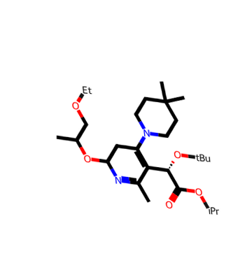 CCOCC(C)OC1CC(N2CCC(C)(C)CC2)=C([C@H](OC(C)(C)C)C(=O)OC(C)C)C(C)=N1